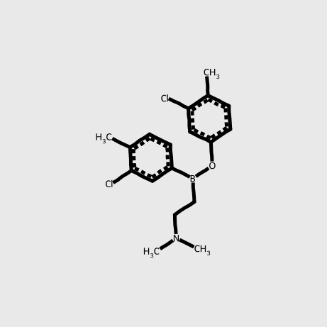 Cc1ccc(OB(CCN(C)C)c2ccc(C)c(Cl)c2)cc1Cl